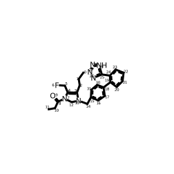 CCCC1=C(CF)N(C(=O)CC)CN1Cc1ccc(-c2ccccc2-c2nnn[nH]2)cc1